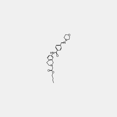 CCCCOC(=O)CN1CCc2ccc(NC(=O)c3ccc(C=NN4CCOCC4)cc3)cc2C1